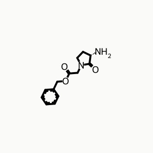 N[C@H]1CCN(CC(=O)OCc2ccccc2)C1=O